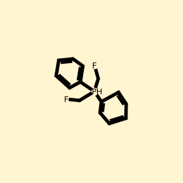 FC[PH](CF)(c1ccccc1)c1ccccc1